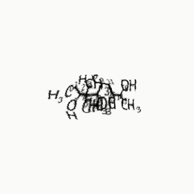 CC[C@H](O)C(C)(C)[C@@H](O)[C@@H](C)/C=C(\C)[C@H](C)O